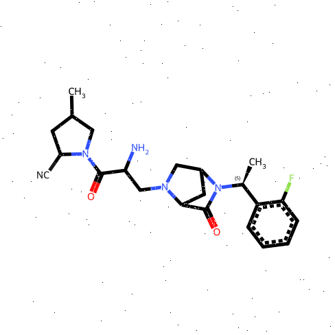 CC1CC(C#N)N(C(=O)C(N)CN2CC3CC2C(=O)N3[C@@H](C)c2ccccc2F)C1